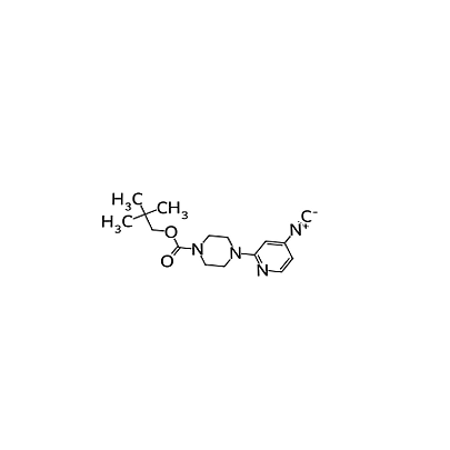 [C-]#[N+]c1ccnc(N2CCN(C(=O)OCC(C)(C)C)CC2)c1